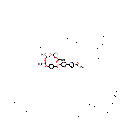 CCC(C)C(=O)OCC(C)OCC(C)OCC(C)Oc1ccc(C(=O)Oc2ccc(-c3ccc(C(=O)OC)cn3)cc2)cc1